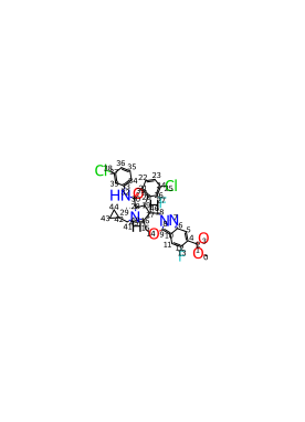 COC(=O)c1cc2nn3c(c2cc1F)OC[C@H]1[C@@H](C3)[C@H](c2cccc(Cl)c2F)[C@](C)(C(=O)Nc2cccc(Cl)c2)N1CC1CC1